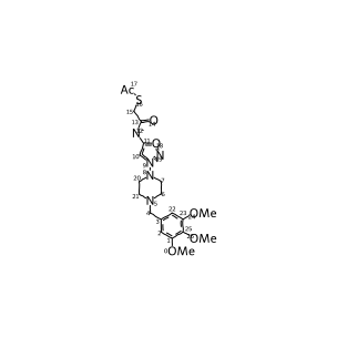 COc1cc(CN2CCN([n+]3cc([N-]C(=O)CSC(C)=O)on3)CC2)cc(OC)c1OC